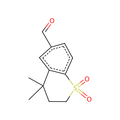 CC1(C)CCS(=O)(=O)c2ccc(C=O)cc21